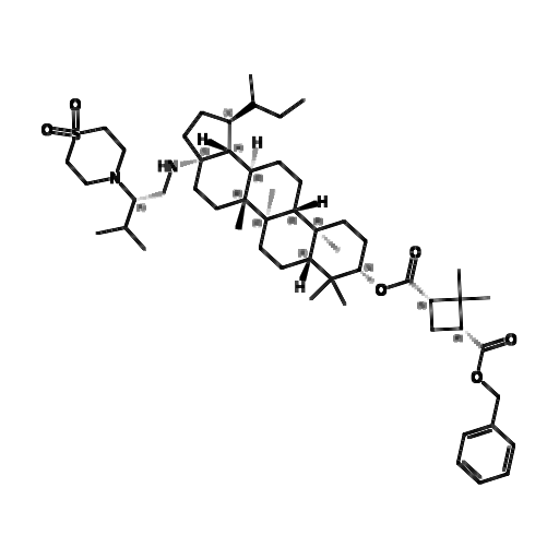 CCC(C)[C@@H]1CC[C@]2(NC[C@H](C(C)C)N3CCS(=O)(=O)CC3)CC[C@]3(C)[C@H](CC[C@@H]4[C@@]5(C)CC[C@H](OC(=O)[C@H]6C[C@@H](C(=O)OCc7ccccc7)C6(C)C)C(C)(C)[C@@H]5CC[C@]43C)[C@@H]12